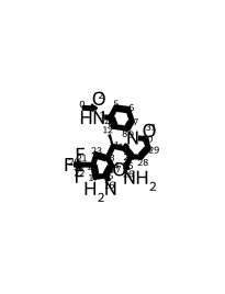 CC(=O)Nc1cccc(-n2c([C@H](C)c3cc(N)cc(C(F)(F)F)c3)c(C(N)=O)ccc2=O)c1